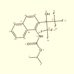 CC(C)OC(=O)Nc1c(C(O)(C(F)(F)F)C(F)(F)F)ccc2ccccc12